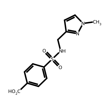 Cn1ccc(CNS(=O)(=O)c2ccc(C(=O)O)cc2)n1